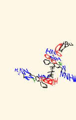 C[C@@H](c1cc(-c2cnc(N)cn2)c(F)cc1-c1ccccc1S(=O)(=O)NCCNC(=O)OC(C)(C)C)C(C)(C)[C@H](CO)NS(=O)(=O)c1ccccc1-c1ccc(-c2cnc(N)cn2)c(F)c1